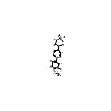 CC1CCC(c2ccc(-c3cc(F)c(OC(F)(F)F)c(F)c3)cc2)CC1